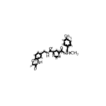 Cc1ccc([C@H](C)NC(=O)c2cc(C(=O)NCc3ccc4c(c3)NC(=O)CO4)ncn2)cc1